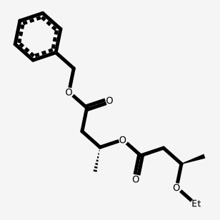 CCO[C@H](C)CC(=O)O[C@H](C)CC(=O)OCc1ccccc1